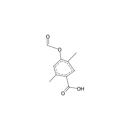 Cc1cc(C(=O)O)c(C)cc1OC=O